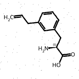 C=CCc1cccc(C[C@H](N)C(=O)O)c1